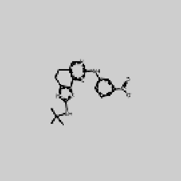 CC(C)(C)Nc1nc2c(s1)-c1nc(Nc3cccc([N+](=O)[O-])c3)ncc1CC2